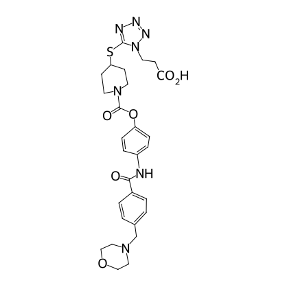 O=C(O)CCn1nnnc1SC1CCN(C(=O)Oc2ccc(NC(=O)c3ccc(CN4CCOCC4)cc3)cc2)CC1